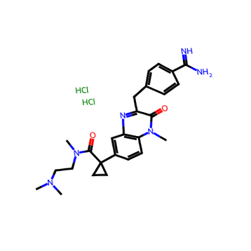 CN(C)CCN(C)C(=O)C1(c2ccc3c(c2)nc(Cc2ccc(C(=N)N)cc2)c(=O)n3C)CC1.Cl.Cl